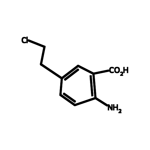 Nc1ccc(CCCl)cc1C(=O)O